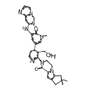 Cn1cc(-c2ccnc(N3CCn4c(cc5c4CC(C)(C)C5)C3=O)c2CO)cc(Nc2cc3nccn3cn2)c1=O